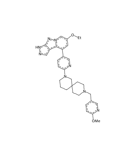 CCOc1cc(-c2ccc(N3CCCC4(CCN(Cc5ccc(OC)nc5)CC4)C3)nc2)c2c3cn[nH]c3nn2c1